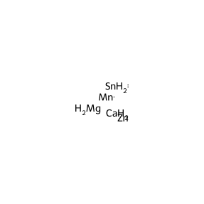 [CaH2].[MgH2].[Mn].[SnH2].[Zn]